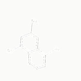 CC(C)c1ccnc2c(C#N)cc(N)cc12